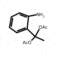 CC(=O)OC(C)(OC(C)=O)c1ccccc1N